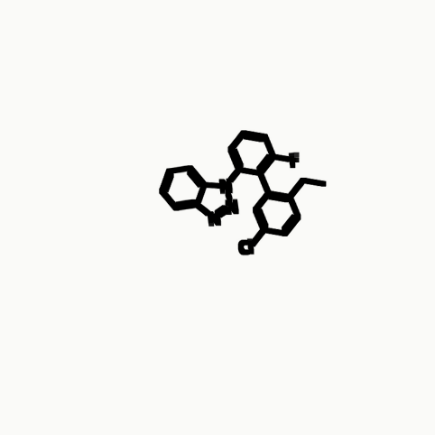 CCc1ccc(Cl)cc1-c1c(F)cccc1-n1nnc2ccccc21